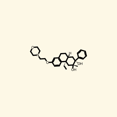 CC[C@@]12C[C@@](C)(O)[C@](O)(c3ccccc3)C[C@H]1CCc1cc(OCCN3CCOCC3)ccc12